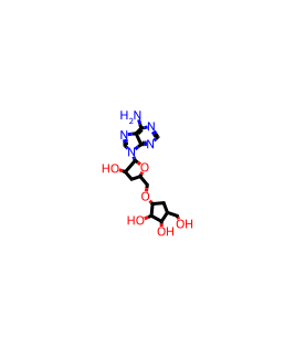 Nc1ncnc2c1ncn2C1OC(COC2CC(CO)C(O)C2O)CC1O